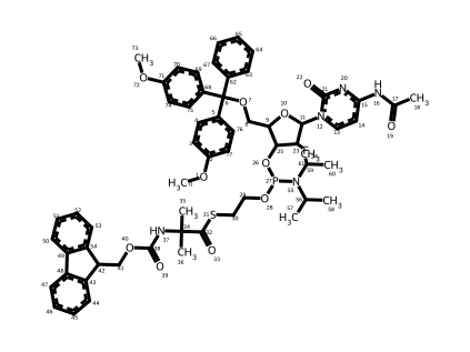 COc1ccc(C(OCC2OC(n3ccc(NC(C)=O)nc3=O)C(F)C2OP(OCCSC(=O)C(C)(C)NC(=O)OCC2c3ccccc3-c3ccccc32)N(C(C)C)C(C)C)(c2ccccc2)c2ccc(OC)cc2)cc1